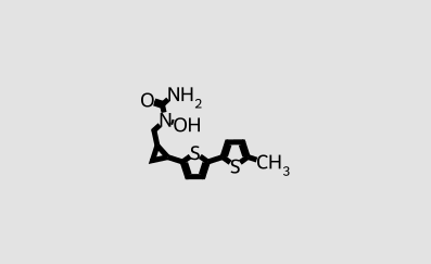 Cc1ccc(-c2ccc(C3CC3CN(O)C(N)=O)s2)s1